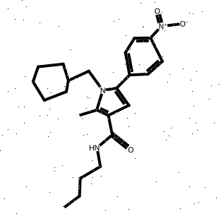 CCCCNC(=O)c1cc(-c2ccc([N+](=O)[O-])cc2)n(CC2CCCCC2)c1C